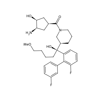 COCCCC[C@@](O)(c1cccc(F)c1-c1cccc(F)c1)[C@@H]1CCCN(C(=O)[C@H]2C[C@@H](N)[C@@H](O)C2)C1